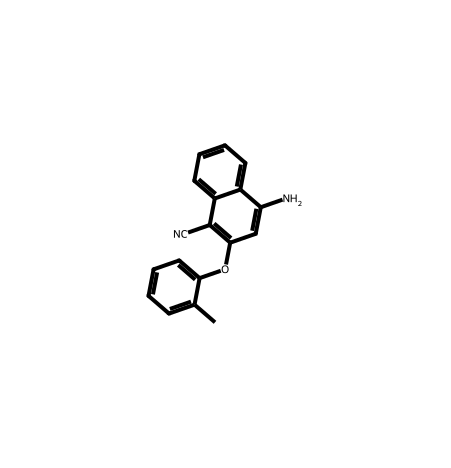 Cc1ccccc1Oc1cc(N)c2ccccc2c1C#N